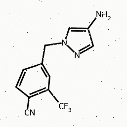 N#Cc1ccc(Cn2cc(N)cn2)cc1C(F)(F)F